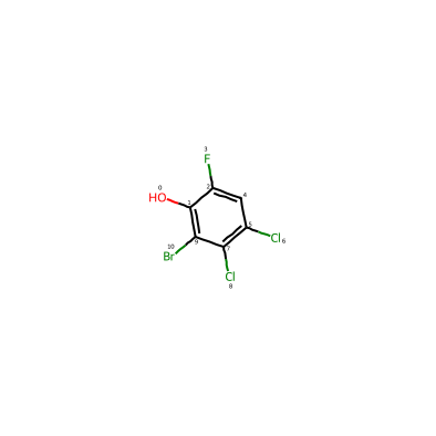 Oc1c(F)cc(Cl)c(Cl)c1Br